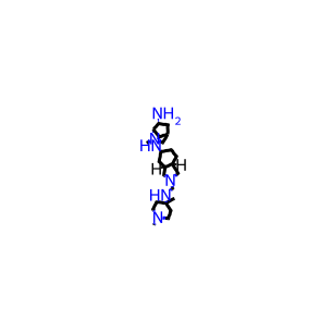 CN1CCC(C)(NCN2C[C@H]3CC[C@@H](NC4C5C[C@@H](N)C4N(C)C5)C[C@H]3C2)CC1